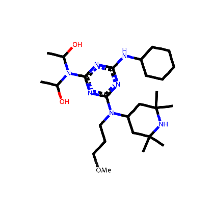 COCCCN(c1nc(NC2CCCCC2)nc(N(C(C)O)C(C)O)n1)C1CC(C)(C)NC(C)(C)C1